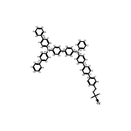 CC(C)(C#N)CCc1ccc(-c2ccc(-c3ccc(N(c4ccccc4)c4ccc(-c5ccc(N(c6ccc(-c7ccccc7)cc6)c6ccc(-c7ccccc7)cc6)cc5)cc4)cc3)cc2)cc1